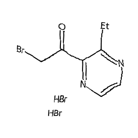 Br.Br.CCc1nccnc1C(=O)CBr